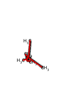 CCCCCC1=C(c2cccc(CCCC)c2)[N+](=[N-])C(c2cccc(CCCC)c2)=C1.CCCCCCCCCCCCCCCCCCCCCCCCCC[CH2][Pd][CH2]CCCCCCCCCCCCCCCCCCCCCCCCCC